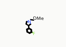 COCCN1CCC(c2cccc(F)c2)C1